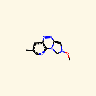 CON1C=C2N=Nc3cc(C)cnc3N2C1